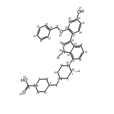 C[C@@H]1CN(CC2CCN(C(=O)O)CC2)CCN1c1cccc2c(-c3ccc(O)nc3OCc3ccccc3)nn(C)c12